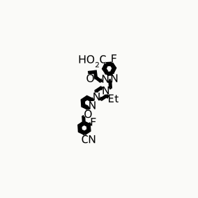 CCC1CN(c2cccc(OCc3ccc(C#N)cc3F)n2)CCN1Cc1nc2cc(F)c(C(=O)O)cc2n1CC1CCO1